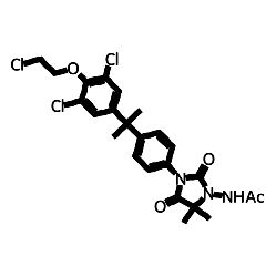 CC(=O)NN1C(=O)N(c2ccc(C(C)(C)c3cc(Cl)c(OCCCl)c(Cl)c3)cc2)C(=O)C1(C)C